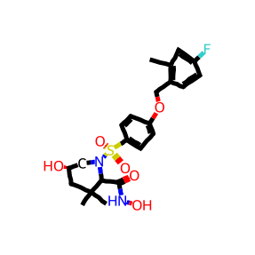 Cc1cc(F)ccc1COc1ccc(S(=O)(=O)N2C[C@H](O)CC(C)(C)C2C(=O)NO)cc1